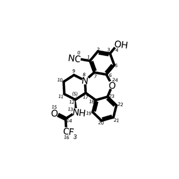 N#Cc1cc(O)cc2c1N1CCC[C@H](NC(=O)C(F)(F)F)C1c1ccccc1O2